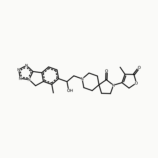 CC1=C(N2CCC3(CCN(CC(O)c4ccc5c(c4C)Cn4nnnc4-5)CC3)C2=O)COC1=O